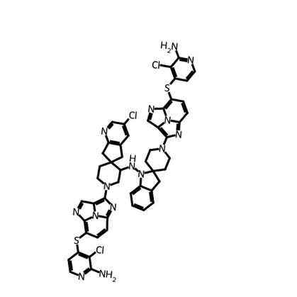 Nc1nccc(Sc2ccc3nc(N4CCC5(CC4)Cc4ccccc4N5NC4CN(c5nc6ccc(Sc7ccnc(N)c7Cl)c7ncc5n67)CCC45Cc4cc(Cl)cnc4C5)c4cnc2n34)c1Cl